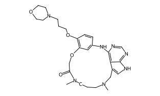 CN1CCCN(C)C(=O)COc2cc(ccc2OCCCN2CCOCC2)Nc2ncnc3[nH]cc(c23)C1